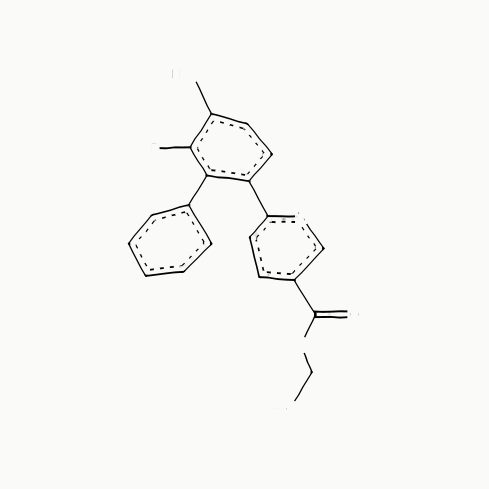 CCOC(=O)c1ccc(-c2ccc(C)c(F)c2-c2ccccc2)nc1